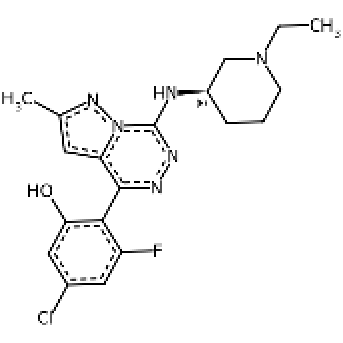 CCN1CCC[C@@H](Nc2nnc(-c3c(O)cc(Cl)cc3F)c3cc(C)nn23)C1